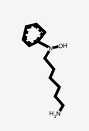 NCCCCCCN(O)c1ccccc1